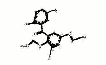 COCOc1c(C(=O)c2cc(Br)ccc2F)cc(OCC(C)(C)C)nc1F